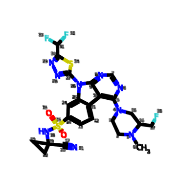 CN1CCN(c2ncnc3c2c2ccc(S(=O)(=O)NC4(C#N)CC4)cc2n3-c2nnc(C(F)F)s2)CC1CF